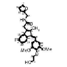 COc1cc(/C=C2/C(C)=C(CC(=O)NCc3ccco3)c3cc(F)ccc32)cc(OC)c1OCCO